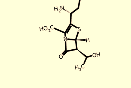 CC(O)[C@H]1C(=O)N2C(C(=O)O)=C([C@H](N)CCO)S[C@H]12